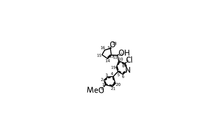 COc1ccc(-c2cnc(Cl)c(C(O)C3=CCCC3=O)c2)cc1